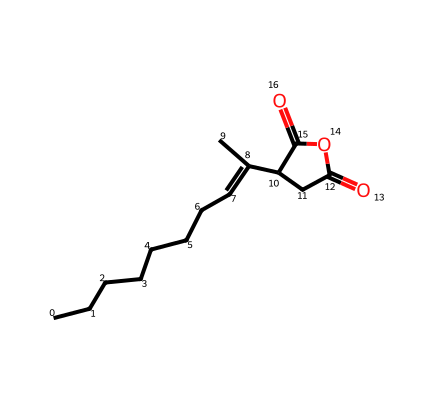 CCCCCCCC=C(C)C1CC(=O)OC1=O